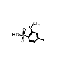 COc1cc(I)ccc1S(=O)(=O)O